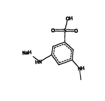 CNc1cc(NC)cc(S(=O)(=O)O)c1.[NaH]